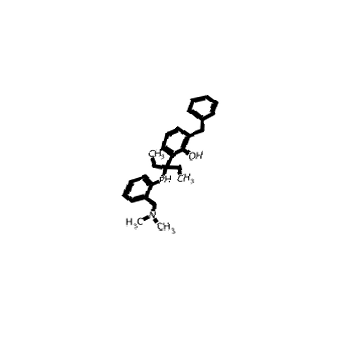 CCC(CC)(Pc1ccccc1CN(C)C)c1cccc(Cc2ccccc2)c1O